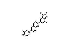 CC1CN(c2ccc3nc(-c4cc(F)c5nn(C)c(F)c5c4)ncc3c2)CC(C)N1